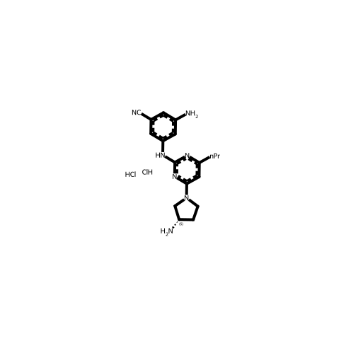 CCCc1cc(N2CC[C@H](N)C2)nc(Nc2cc(N)cc(C#N)c2)n1.Cl.Cl